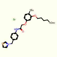 CCCCCCCCCCCCCCOc1cc(OCC(=O)Nc2ccc(C[n+]3ccsc3)cc2)ccc1C(C)(C)C.[Br-]